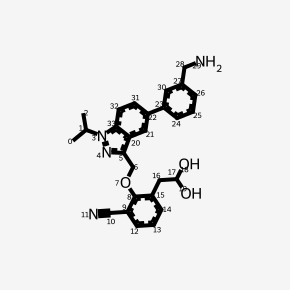 CC(C)n1nc(COc2c(C#N)cccc2CC(O)O)c2cc(-c3cccc(CN)c3)ccc21